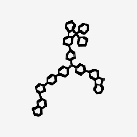 c1ccc(C2(c3ccccc3)c3ccccc3-c3ccc(-c4ccc(N(c5ccc(-c6ccc(-c7cccc(-c8ccc9ccccc9c8)c7)cc6)cc5)c5ccc(-c6ccc7oc8ccccc8c7c6)cc5)cc4)cc32)cc1